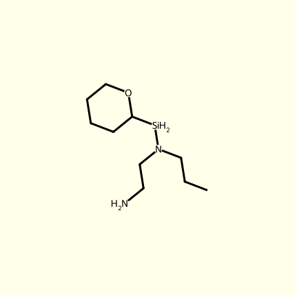 CCCN(CCN)[SiH2]C1CCCCO1